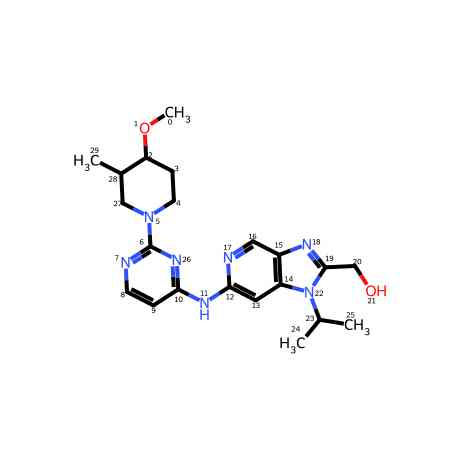 COC1CCN(c2nccc(Nc3cc4c(cn3)nc(CO)n4C(C)C)n2)CC1C